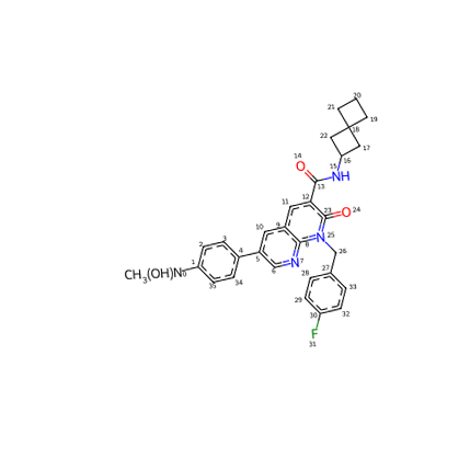 CN(O)c1ccc(-c2cnc3c(c2)cc(C(=O)NC2CC4(CCC4)C2)c(=O)n3Cc2ccc(F)cc2)cc1